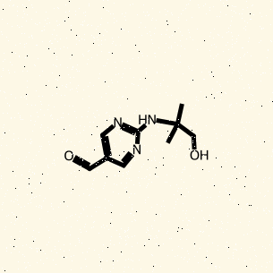 CC(C)(CO)Nc1ncc(C=O)cn1